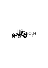 O=C(CCc1nccs1)NC1Cc2cccc(C(=O)O)c2OB1O